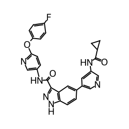 O=C(Nc1ccc(Oc2ccc(F)cc2)nc1)c1n[nH]c2ccc(-c3cncc(NC(=O)C4CC4)c3)cc12